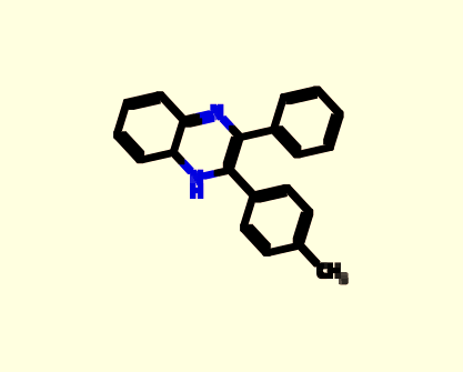 Cc1ccc(C2=C(c3ccccc3)N=C3C=CC=CC3N2)cc1